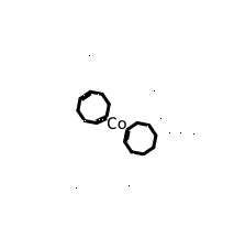 C1=CCC[C]([Co][C]2=CCCCCCC2)=CCC1